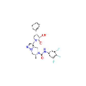 C[C@H]1Cn2ncc(N3CC(c4ccccc4)C(O)C3=O)c2CN1C(=O)Nc1cc(F)c(F)c(F)c1